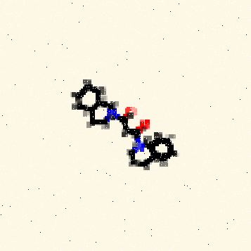 O=C(CC(=O)N1CCCc2ccccc21)N1CCC2CCCCC2C1